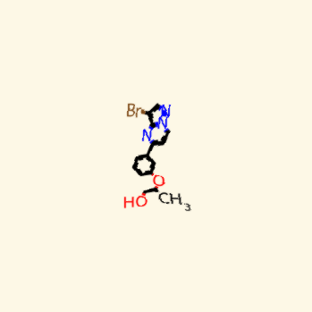 CC(CO)Oc1cccc(-c2ccn3ncc(Br)c3n2)c1